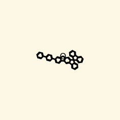 c1ccc(-c2ccc(-c3ccc4c(c3)oc3cc5c(cc34)-c3ccccc3C53c4ccccc4-c4ccccc43)cc2)cc1